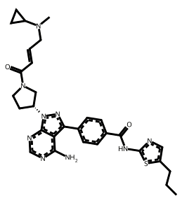 CCCc1cnc(NC(=O)c2ccc(-c3nn([C@@H]4CCN(C(=O)C=CCN(C)C5CC5)C4)c4ncnc(N)c34)cc2)s1